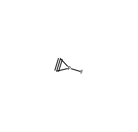 FP1C#C1